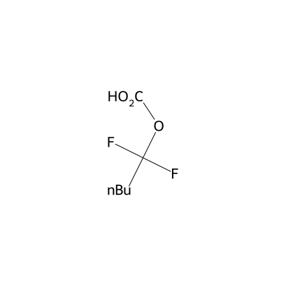 CCCCC(F)(F)OC(=O)O